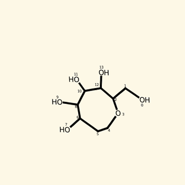 OCC1OCCC(O)C(O)C(O)C1O